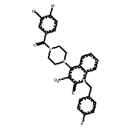 O=C(c1ccc(Cl)c(Cl)c1)N1CCN(c2c([N+](=O)[O-])c(=O)n(Cc3ccc(F)cc3)c3ccccc23)CC1